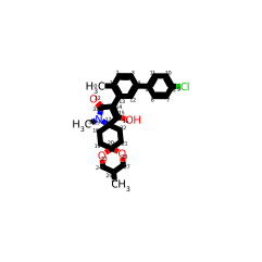 Cc1ccc(-c2ccc(Cl)cc2)cc1C1=C(O)C2(CCC3(CC2)OCC(C)CO3)N(C)C1=O